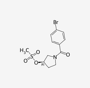 CS(=O)(=O)O[C@@H]1CCN(C(=O)c2ccc(Br)cc2)C1